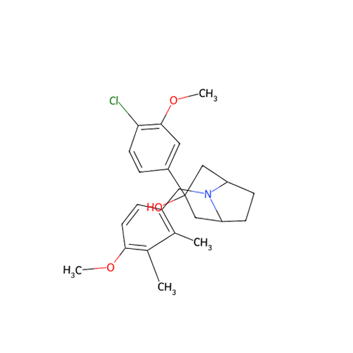 COc1cc(C2(O)CC3CCC(C2)N3Cc2ccc(OC)c(C)c2C)ccc1Cl